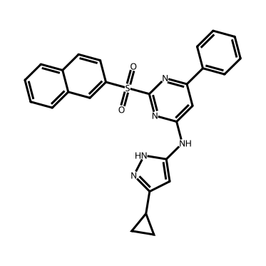 O=S(=O)(c1ccc2ccccc2c1)c1nc(Nc2cc(C3CC3)n[nH]2)cc(-c2ccccc2)n1